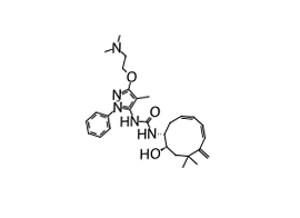 C=C1/C=C\C=C/C[C@@H](NC(=O)Nc2c(C)c(OCCN(C)C)nn2-c2ccccc2)[C@H](O)CC1(C)C